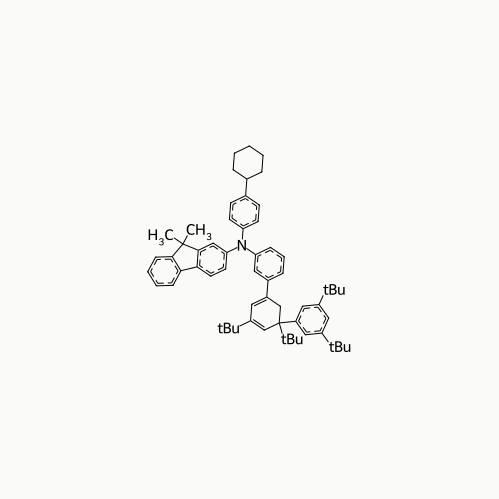 CC(C)(C)C1=CC(c2cc(C(C)(C)C)cc(C(C)(C)C)c2)(C(C)(C)C)CC(c2cccc(N(c3ccc(C4CCCCC4)cc3)c3ccc4c(c3)C(C)(C)c3ccccc3-4)c2)=C1